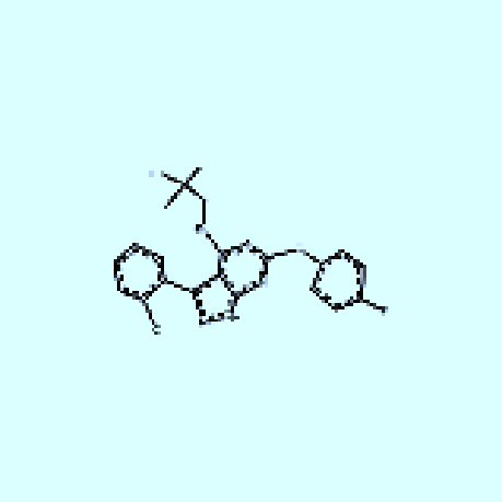 CC(C)(O)CNc1nc(Oc2ccc(F)cc2)nc2[nH]nc(-c3ccccc3Cl)c12